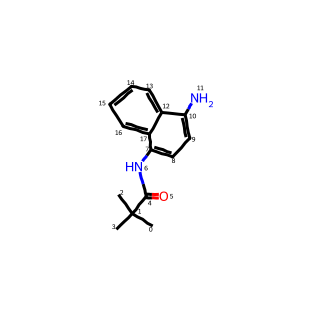 CC(C)(C)C(=O)Nc1ccc(N)c2ccccc12